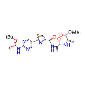 C=C(NC(=O)c1csc(-c2cnc(NC(=O)OC(C)(C)C)nc2)n1)C(=O)NC(=C)C(=O)OC